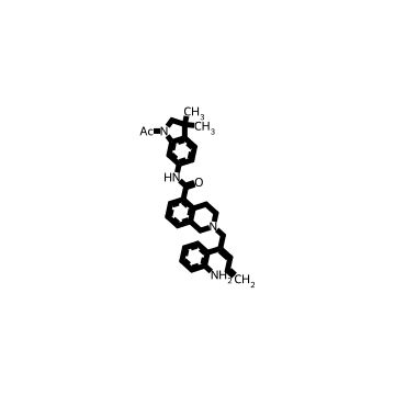 C=C/C=C(/CN1CCc2c(cccc2C(=O)Nc2ccc3c(c2)N(C(C)=O)CC3(C)C)C1)c1ccccc1N